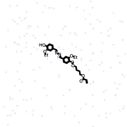 C=CC(=O)OCCCCOOc1ccc(/C=N/N=C/c2ccc(O)c(OCC)c2)cc1OCC